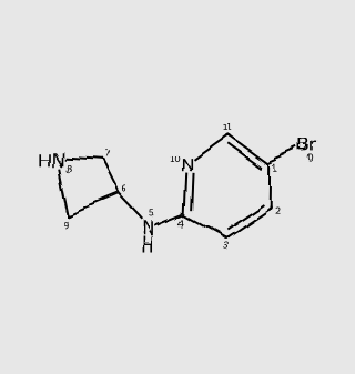 Brc1ccc(NC2CNC2)nc1